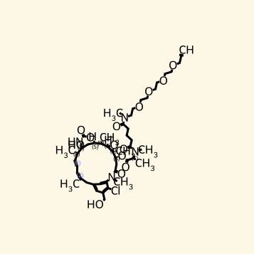 C#CCOCCOCCOCCOCCN(C)C(=O)CCCC(=O)N(C)[C@@H](C)C(=O)O[C@H]1CC(=O)N(C)c2cc(cc(CO)c2Cl)C/C(C)=C\C=C\[C@@H](C)[C@@]2(O)C[C@H](OC(=O)N2)[C@@H](C)[C@@H]2O[C@@]12C